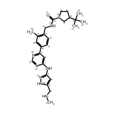 CNCc1cc(Nc2cc(-c3ccc(CNC(=O)N4CCC(C(C)(C)C)C4)c(C)c3)ncn2)n[nH]1